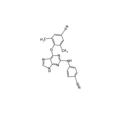 Cc1cc(C#N)cc(C)c1Oc1nc(Nc2ccc(C#N)cc2)nc2[nH]cnc12